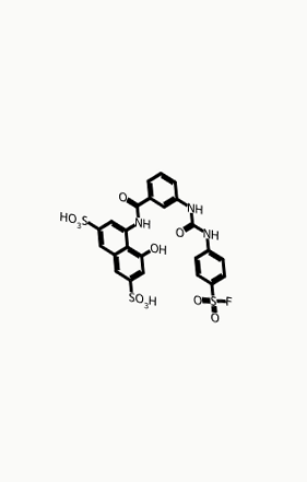 O=C(Nc1ccc(S(=O)(=O)F)cc1)Nc1cccc(C(=O)Nc2cc(S(=O)(=O)O)cc3cc(S(=O)(=O)O)cc(O)c23)c1